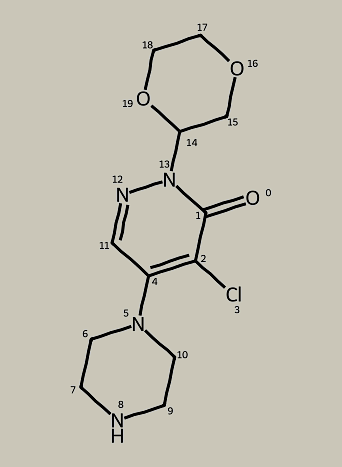 O=c1c(Cl)c(N2CCNCC2)cnn1C1COCCO1